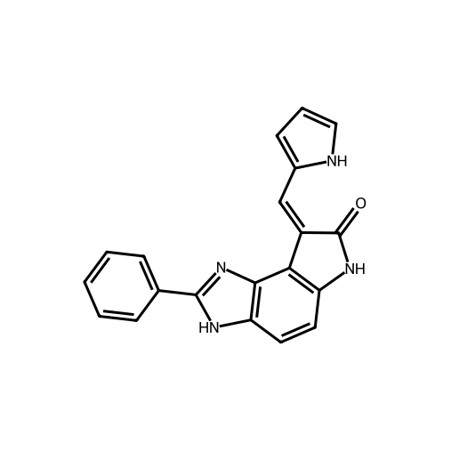 O=C1Nc2ccc3[nH]c(-c4ccccc4)nc3c2/C1=C/c1ccc[nH]1